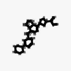 C=CC(=O)N1CCC(C2=CN=C(Nc3cc(N4CCOCC4)ccn3)C3NC=NN23)C1